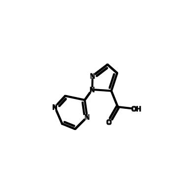 O=C(O)c1ccnn1-c1cnccn1